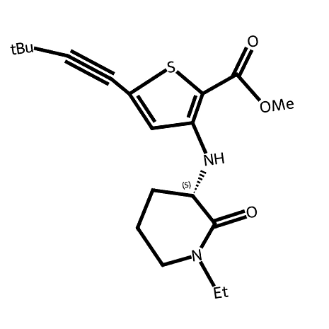 CCN1CCC[C@H](Nc2cc(C#CC(C)(C)C)sc2C(=O)OC)C1=O